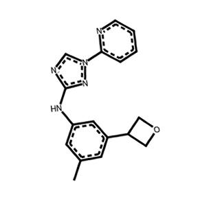 Cc1cc(Nc2ncn(-c3ccccn3)n2)cc(C2COC2)c1